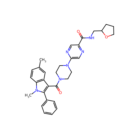 Cc1ccc2c(c1)c(C(=O)N1CCN(c3cnc(C(=O)NCC4CCCO4)cn3)CC1)c(-c1ccccc1)n2C